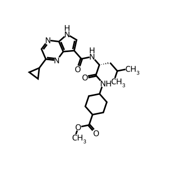 COC(=O)C1CCC(NC(=O)[C@@H](CC(C)C)NC(=O)c2c[nH]c3ncc(C4CC4)nc23)CC1